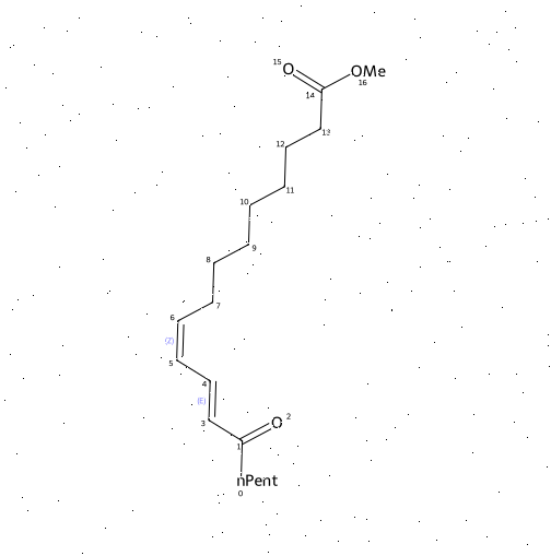 CCCCCC(=O)/C=C/C=C\CCCCCCCC(=O)OC